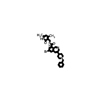 Cc1cc(C)c(CNC(=O)c2cc(Br)cc3c2C=NCC(C2CCN(Cc4ccccc4)CC2)=C3)c(=O)[nH]1